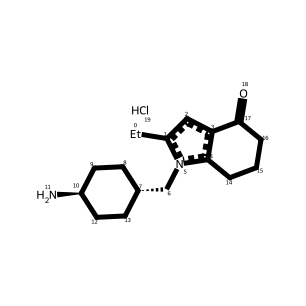 CCc1cc2c(n1C[C@H]1CC[C@H](N)CC1)CCCC2=O.Cl